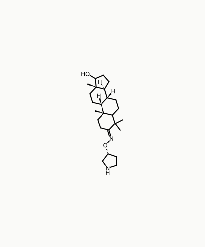 CC1(C)/C(=N/O[C@@H]2CCNC2)CC[C@@]2(C)C1CC[C@@H]1[C@H]2CC[C@]2(C)C(O)CC[C@@H]12